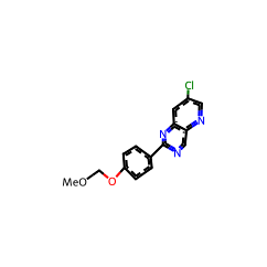 COCOc1ccc(-c2ncc3ncc(Cl)cc3n2)cc1